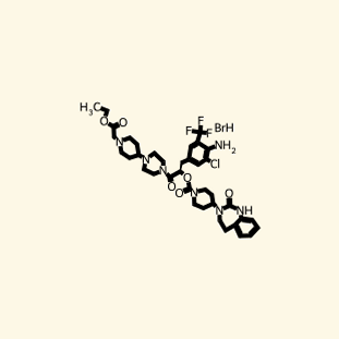 Br.CCOC(=O)CN1CCC(N2CCN(C(=O)[C@@H](Cc3cc(Cl)c(N)c(C(F)(F)F)c3)OC(=O)N3CCC(N4CCc5ccccc5NC4=O)CC3)CC2)CC1